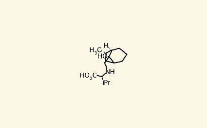 CC(C)[C@H](NC[C@@]1(O)C2CCC[C@@H]1[C@@H](C)C2)C(=O)O